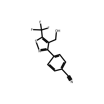 N#Cc1ccc(-c2nsc(C(F)(F)F)c2CO)cc1